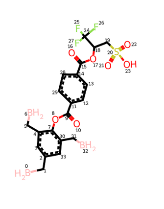 BCc1cc(CB)c(OC(=O)c2ccc(C(=O)OC(CS(=O)(=O)O)C(F)(F)F)cc2)c(CB)c1